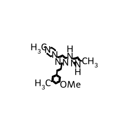 COc1cc(C)cc(/C=C/c2nc(Nc3cc(C)[nH]n3)cc(N3CCN(C)CC3)n2)c1